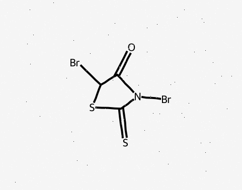 O=C1C(Br)SC(=S)N1Br